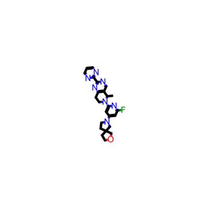 CC1c2cnc(-c3ncccn3)nc2CCN1c1cc(N2CCC3(CCOC3)C2)cc(F)n1